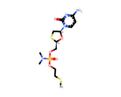 CC(=O)SCCOP(=O)(OC[C@@H]1O[C@H](n2ccc(N)nc2=O)CS1)N(C)C